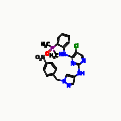 CP(C)(=O)c1ccccc1Nc1nc(Nc2cnn(Cc3ccc([N+](=O)[O-])cc3)c2)ncc1Cl